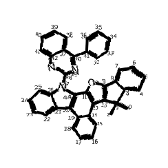 CC1(C)c2ccccc2-c2oc3c(c21)c1ccccc1c1c2ccccc2n(-c2nc(-c4ccccc4)c4ccccc4n2)c31